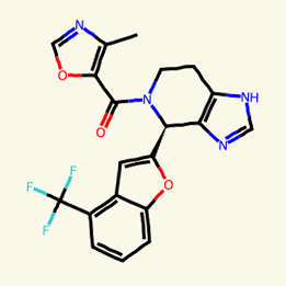 Cc1ncoc1C(=O)N1CCc2[nH]cnc2[C@H]1c1cc2c(C(F)(F)F)cccc2o1